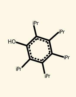 CC(C)c1c(O)c(C(C)C)c(C(C)C)c(C(C)C)c1C(C)C